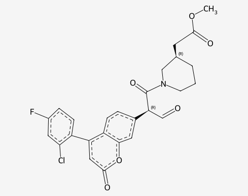 COC(=O)C[C@H]1CCCN(C(=O)[C@@H](C=O)c2ccc3c(-c4ccc(F)cc4Cl)cc(=O)oc3c2)C1